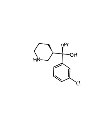 [CH2]CC[C@@](O)(c1cccc(Cl)c1)[C@@H]1CCCNC1